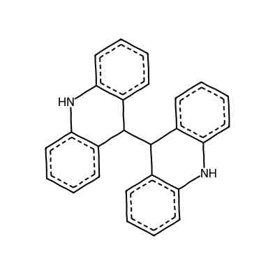 c1ccc2c(c1)Nc1ccccc1C2C1c2ccccc2Nc2ccccc21